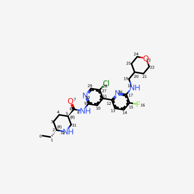 CC[C@@H]1CC[C@@H](C(=O)Nc2cc(-c3ccc(F)c(NCC4CCOCC4)n3)c(Cl)cn2)CN1